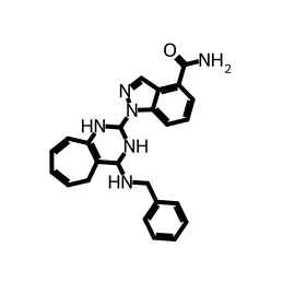 NC(=O)c1cccc2c1cnn2C1NC2=C(CC=CC=C2)C(NCc2ccccc2)N1